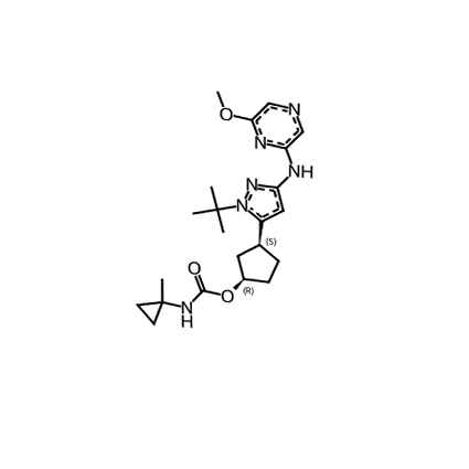 COc1cncc(Nc2cc([C@H]3CC[C@@H](OC(=O)NC4(C)CC4)C3)n(C(C)(C)C)n2)n1